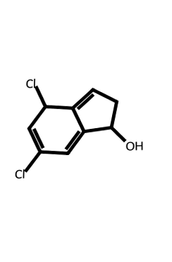 OC1CC=C2C1=CC(Cl)=CC2Cl